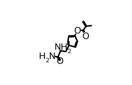 C=C(C)C(=O)Oc1ccc(CC(N)C(N)=O)cc1